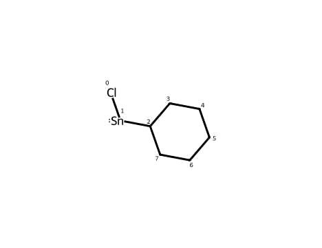 [Cl][Sn][CH]1CCCCC1